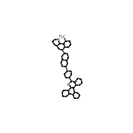 Cc1cccc2c(-c3ccc4cc(-c5ccc(-c6nc7c8ccccc8c8ccccc8c7c7ccccc67)cc5)ccc4c3)cc3cccnc3c12